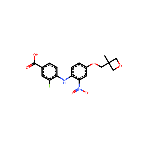 CC1(COc2ccc(Nc3ccc(C(=O)O)cc3F)c([N+](=O)[O-])c2)COC1